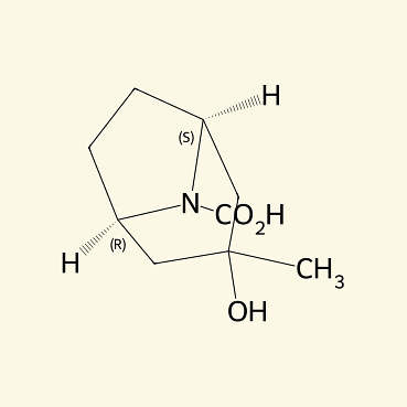 CC1(O)C[C@H]2CC[C@@H](C1)N2C(=O)O